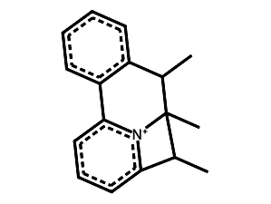 CC1c2ccccc2-c2cccc3[n+]2C1(C)C3C